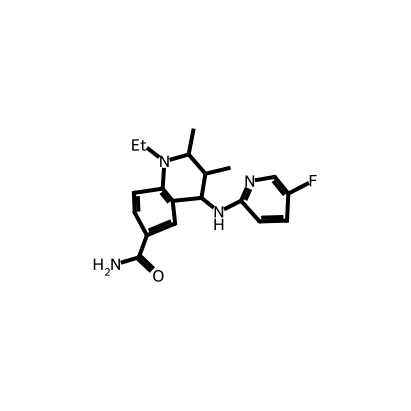 CCN1c2ccc(C(N)=O)cc2C(Nc2ccc(F)cn2)C(C)C1C